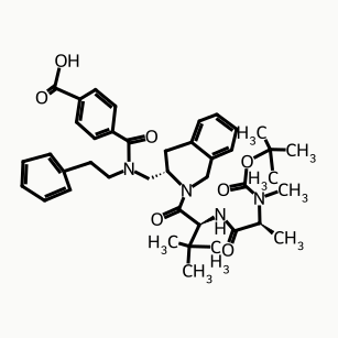 C[C@@H](C(=O)N[C@H](C(=O)N1Cc2ccccc2C[C@H]1CN(CCc1ccccc1)C(=O)c1ccc(C(=O)O)cc1)C(C)(C)C)N(C)C(=O)OC(C)(C)C